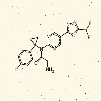 NCC(=O)N(c1ncc(-c2nnc(C(F)F)o2)cn1)C1(c2ccc(F)cc2)CC1